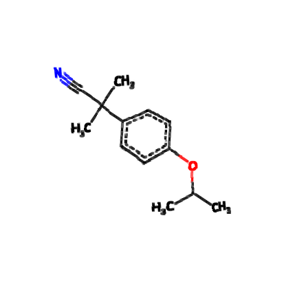 CC(C)Oc1ccc(C(C)(C)C#N)cc1